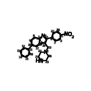 O=[N+]([O-])c1ccc(-c2nc3ccc(-c4ccccc4)cn3c2CN2CCNCC2)cc1